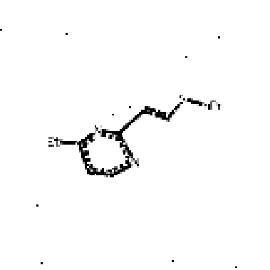 CCCS/C=C/c1nccc(CC)n1